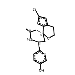 C[C@H]1C[C@@]2(C[C@@H](c3ccc(O)cn3)N1)OCCc1cc(Cl)sc12